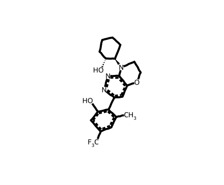 Cc1cc(C(F)(F)F)cc(O)c1-c1cc2c(nn1)N([C@@H]1CCCC[C@H]1O)CCO2